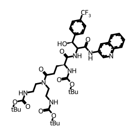 CC(C)(C)OC(=O)NCCN(CCNC(=O)OC(C)(C)C)C(=O)CC[C@H](NC(=O)OC(C)(C)C)C(=O)NC(C(=O)Nc1cnc2ccccc2c1)[C@@H](O)c1ccc(C(F)(F)F)cc1